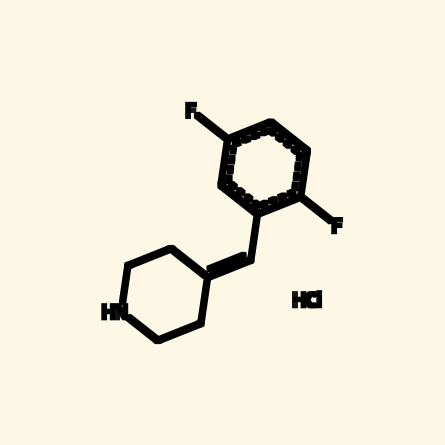 Cl.Fc1ccc(F)c(C=C2CCNCC2)c1